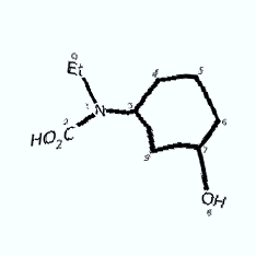 CCN(C(=O)O)C1CCCC(O)C1